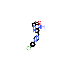 O=C1Nc2cc(CN3CCN(c4ccc(Cl)cc4)CC3)cnc2N2CCC[C@@H]12